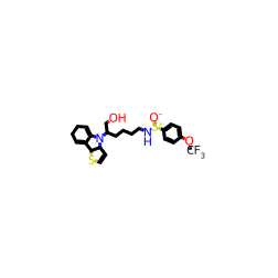 [O-][S+](NCCCCC(CO)N1C2=CCCC=C2C2SC=CC21)c1ccc(OC(F)(F)F)cc1